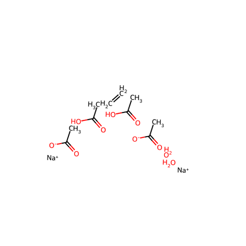 C=C.CC(=O)O.CC(=O)O.CC(=O)[O-].CC(=O)[O-].O.O.[Na+].[Na+]